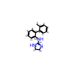 Cc1ccccc1-c1ccccc1NC1=NCCN1